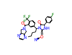 CCCCC(c1ccc(C(F)(F)F)c(C(=O)N2Cc3nccnc3C2)c1)N1C(=O)C(c2ccc(F)cc2)NC1=BOC#N